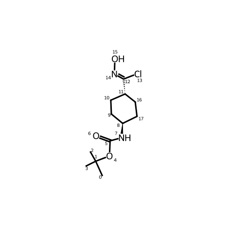 CC(C)(C)OC(=O)N[C@H]1CC[C@H](/C(Cl)=N/O)CC1